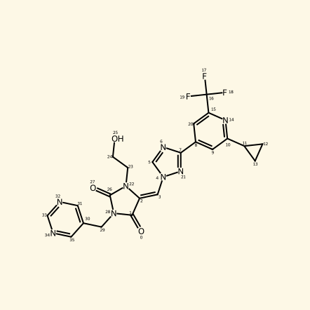 O=C1/C(=C/n2cnc(-c3cc(C4CC4)nc(C(F)(F)F)c3)n2)N(CCO)C(=O)N1Cc1cncnc1